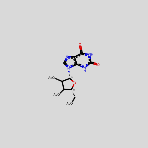 CC(=O)OC[C@H]1O[C@@H](n2cnc3c(=O)[nH]c(=O)[nH]c32)C(OC(C)=O)C1OC(C)=O